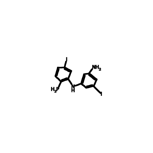 Nc1cc(I)cc(Nc2cc(I)ccc2P)c1